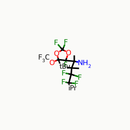 CC(C)C(F)(F)C(F)(F)C(C)(C)C(C)(N)C1(F)OC(F)(F)OC1(OC(F)(F)F)C(C)(C)C